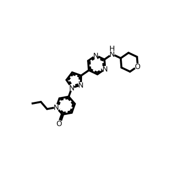 CCCn1cc(-n2ccc(-c3cnc(NC4CCOCC4)nc3)n2)ccc1=O